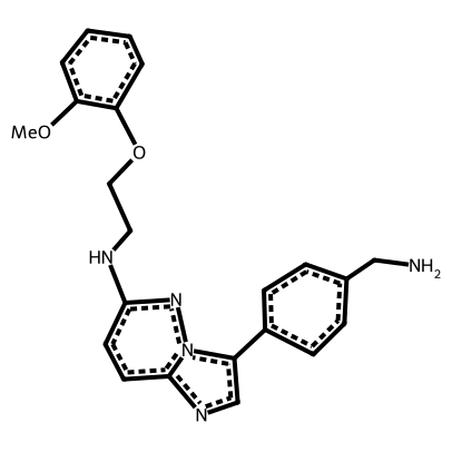 COc1ccccc1OCCNc1ccc2ncc(-c3ccc(CN)cc3)n2n1